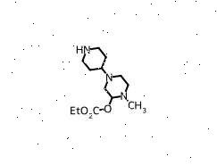 CCOC(=O)OC1CN(C2CCNCC2)CCN1C